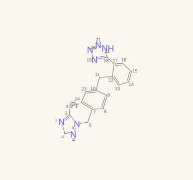 CC(C)c1ncnn1Cc1ccc(Cc2ccccc2-c2nnn[nH]2)cc1